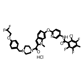 Cc1c(F)c(F)c(C(=O)Nc2ccc(Oc3ccc4cc(C(=O)N5CCN(Cc6ccc(OCC(F)F)cc6)CC5)n(C)c4c3)nc2)c(Cl)c1F.Cl